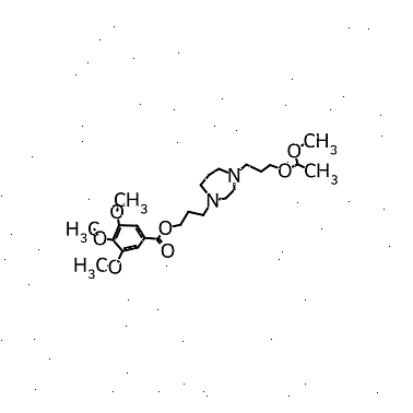 COc1cc(C(=O)OCCCN2CCCN(CCCOC(C)OC)CC2)cc(OC)c1OC